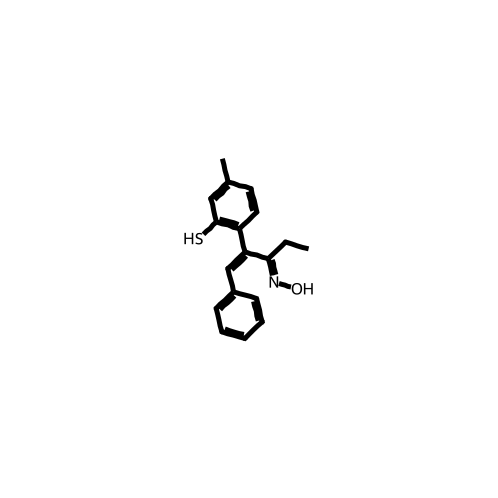 CCC(=NO)C(=Cc1ccccc1)c1ccc(C)cc1S